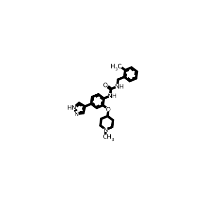 Cc1ccccc1CNC(=O)Nc1ccc(-c2cn[nH]c2)cc1OC1CCN(C)CC1